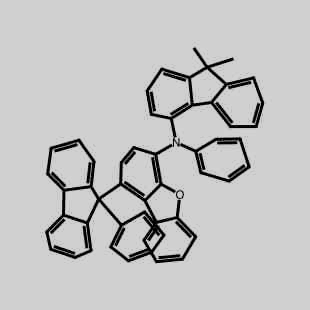 CC1(C)c2ccccc2-c2c(N(c3ccccc3)c3ccc(C4(c5ccccc5)c5ccccc5-c5ccccc54)c4c3oc3ccccc34)cccc21